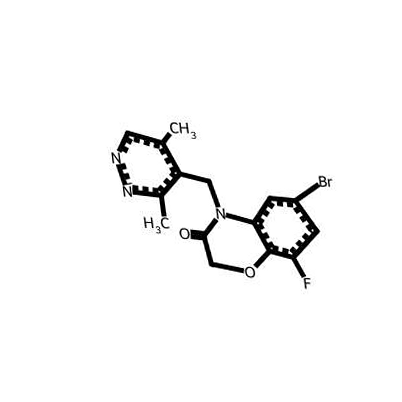 Cc1cnnc(C)c1CN1C(=O)COc2c(F)cc(Br)cc21